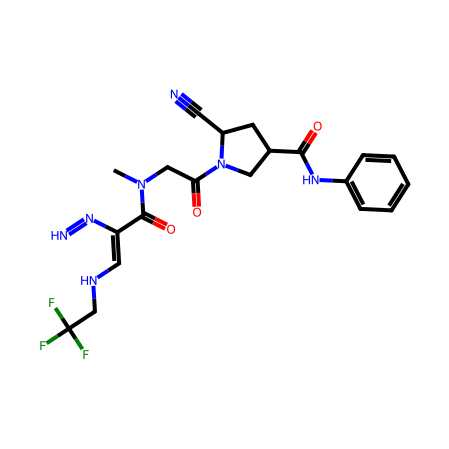 CN(CC(=O)N1CC(C(=O)Nc2ccccc2)CC1C#N)C(=O)/C(=C/NCC(F)(F)F)N=N